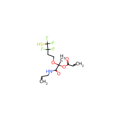 C=CCNC(=O)C(C)(OCCC(F)(F)C(F)(F)S)OC(=O)C=C